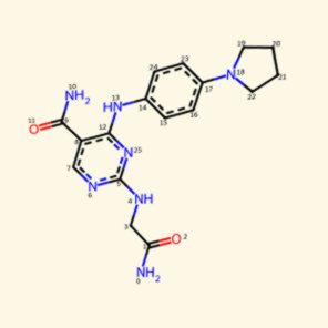 NC(=O)CNc1ncc(C(N)=O)c(Nc2ccc(N3CCCC3)cc2)n1